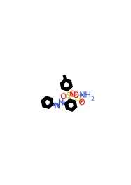 Cc1ccc(S(=O)(=O)c2c(N=Nc3ccccc3)cccc2S(N)(=O)=O)cc1